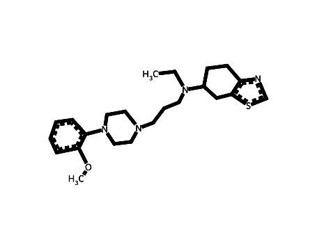 CCN(CCCN1CCN(c2ccccc2OC)CC1)C1CCc2ncsc2C1